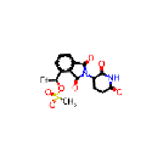 CCC(OS(C)(=O)=O)c1cccc2c1C(=O)N(C1CCC(=O)NC1=O)C2=O